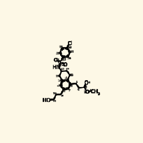 COC(=O)CCc1cc(CCCO)cc2c1CCC(NS(=O)(=O)c1ccc(Cl)cc1)C2